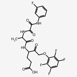 CC(NC(=O)C(=O)Nc1cccc(F)c1)C(=O)NC(CCC(=O)O)C(=O)COc1c(F)c(F)cc(F)c1F